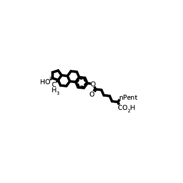 CCCCCC(CCCCC(=O)Oc1ccc2c(c1)CCC1C2CC[C@@]2(C)C1CC[C@@H]2O)C(=O)O